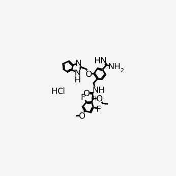 CCO[C@H](C(=O)NCc1ccc(C(=N)N)cc1OCc1nc2ccccc2[nH]1)c1c(F)cc(OC)cc1F.Cl